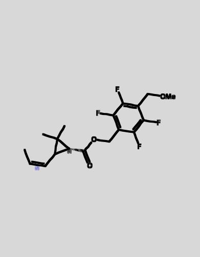 C/C=C\C1[C@@H](C(=O)OCc2c(F)c(F)c(COC)c(F)c2F)C1(C)C